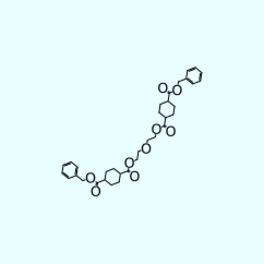 O=C(OCCOCCOC(=O)C1CCC(C(=O)OCc2ccccc2)CC1)C1CCC(C(=O)OCc2ccccc2)CC1